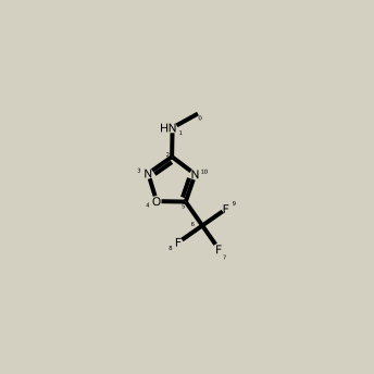 CNc1noc(C(F)(F)F)n1